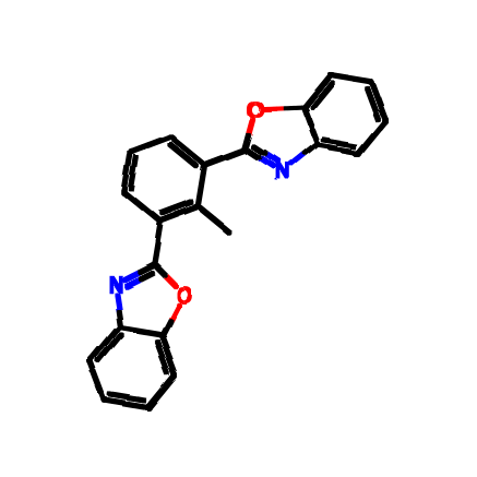 Cc1c(-c2nc3ccccc3o2)cccc1-c1nc2ccccc2o1